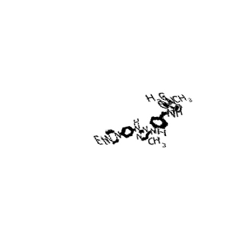 CCN1CCN(c2ccc(Nc3ncc(C)c(Nc4ccc(CNS(=O)(=O)N(C)C)cc4)n3)cc2)CC1